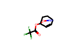 O=C(OC12C=CC(CC1)NO2)C(F)(F)F